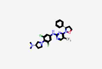 CN(C)[C@H]1CCN(c2c(F)cc(Nc3ncc(C(F)(F)F)c(N4OCC[C@H]4c4ccccc4)n3)cc2F)C1